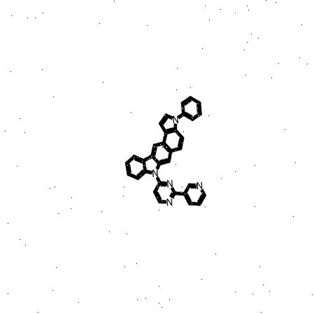 c1ccc(-n2ccc3c4cc5c6ccccc6n(-c6ccnc(-c7cccnc7)n6)c5cc4ccc32)cc1